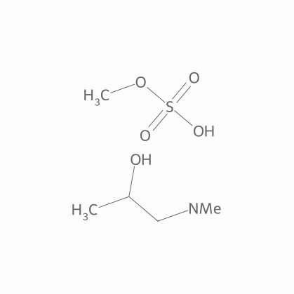 CNCC(C)O.COS(=O)(=O)O